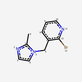 Cc1nccn1Cc1cccnc1Br